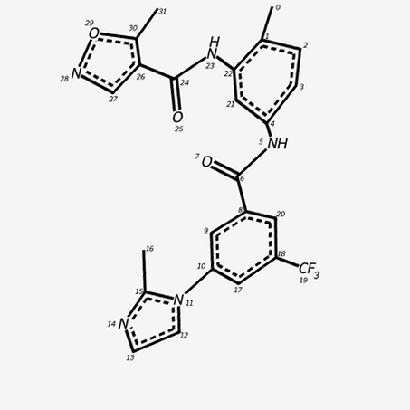 Cc1ccc(NC(=O)c2cc(-n3ccnc3C)cc(C(F)(F)F)c2)cc1NC(=O)c1cnoc1C